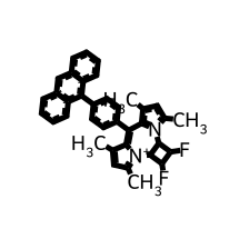 CC1=CC(C)=[N+]2C1=C(c1ccc(-c3c4ccccc4cc4ccccc34)cc1)c1c(C)cc(C)n1C1C(F)C(F)C12